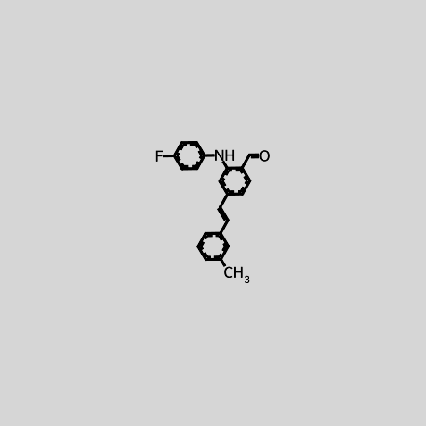 Cc1cccc(/C=C/c2ccc(C=O)c(Nc3ccc(F)cc3)c2)c1